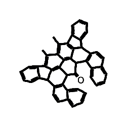 Cc1c2c3c4c5c6c7c(c(C)c15)-c1ccccc1C7c1ccc5ccccc5c1C6C(=O)C4c1c(ccc4ccccc14)C3c1ccccc1-2